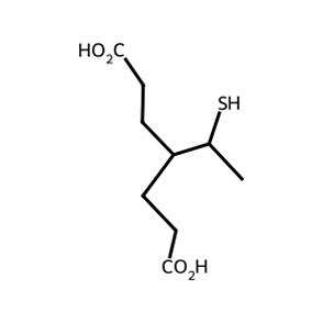 CC(S)C(CCC(=O)O)CCC(=O)O